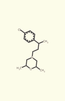 CC1CN(CCC(C)c2ccc(Cl)cc2)CC(C)O1